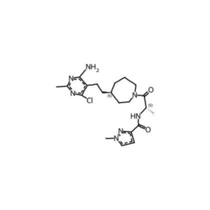 Cc1nc(N)c(CC[C@H]2CCCN(C(=O)[C@H](C)NC(=O)c3ccn(C)n3)CC2)c(Cl)n1